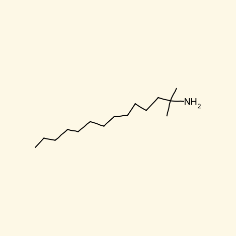 CCCCCCCCCCCCC(C)(C)N